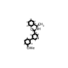 COc1cccc(-c2cncc(C(=O)N[C@@H](C)c3ccccc3)c2)c1